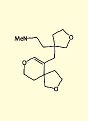 CNCCC1(CC2=COCCC23CCOC3)CCOC1